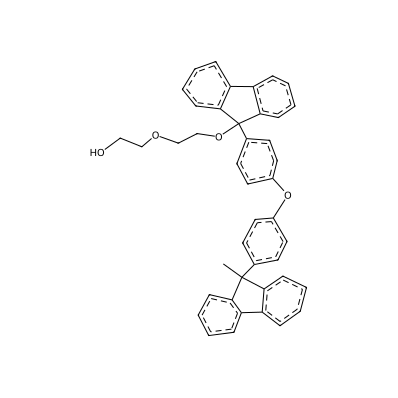 CC1(c2ccc(Oc3ccc(C4(OCCOCCO)c5ccccc5-c5ccccc54)cc3)cc2)c2ccccc2-c2ccccc21